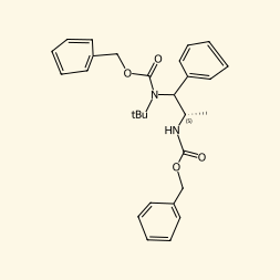 C[C@H](NC(=O)OCc1ccccc1)C(c1ccccc1)N(C(=O)OCc1ccccc1)C(C)(C)C